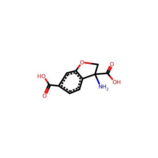 NC1(C(=O)O)COc2cc(C(=O)O)ccc21